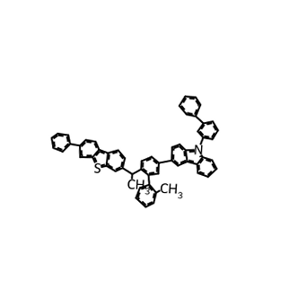 Cc1ccccc1-c1cc(-c2ccc3c(c2)c2ccccc2n3-c2cccc(-c3ccccc3)c2)ccc1C(C)c1ccc2c(c1)sc1cc(-c3ccccc3)ccc12